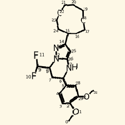 COc1ccc(C2CC(C(F)F)n3nc(C4CCCCCCCCC4)cc3N2)cc1OC